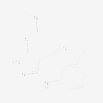 CN(C)C=Nc1[nH]nc(Nc2cccc(Cl)c2)c1C#N